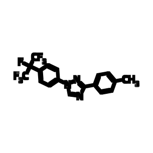 Cc1ccc(-c2ncn(-c3ccc(C(F)(C(F)(F)F)C(F)(F)F)cc3)n2)cc1